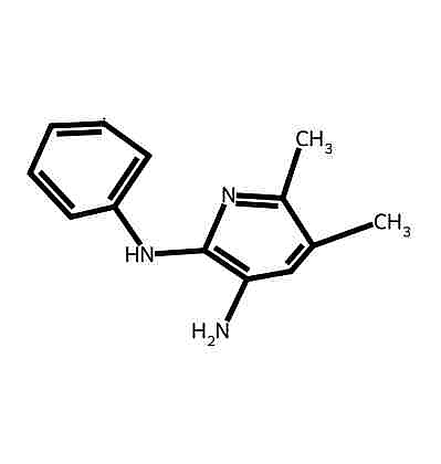 Cc1cc(N)c(Nc2c[c]ccc2)nc1C